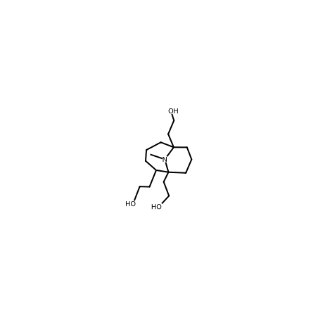 CN1C2(CCO)CCCC(CCO)C1(CCO)CCC2